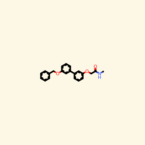 CNC(=O)COc1cccc(-c2cccc(OCc3ccccc3)c2)c1